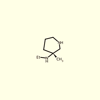 CCN[C@]1(C)CCCNC1